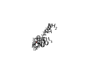 CN(C(=O)ON)C(Cc1ccccc1)(C(=O)CCCCNC=NN)N1CCCC1